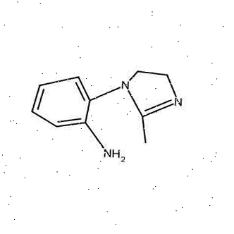 CC1=NCCN1c1ccccc1N